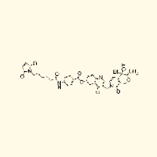 C=C1OCc2c(cc3n(c2=O)Cc2c-3nc3ccc(OC(=O)c4ccc(NC(=O)CCCCCN5C(=O)C=CC5=O)cc4)cc3c2CC)[C@@]1(O)CC